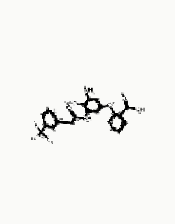 Nc1cc(Oc2ccccc2C(=O)O)cc(NC(=O)Cc2cccc(C(F)(F)F)c2)c1F